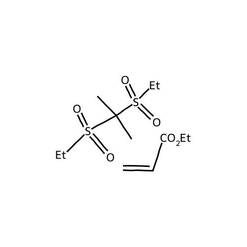 C=CC(=O)OCC.CCS(=O)(=O)C(C)(C)S(=O)(=O)CC